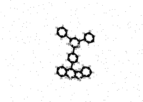 c1ccc(-c2cc(-c3ccccc3)nc(-c3ccc(-c4c5ccccc5nc5sc6ccccc6c45)cc3)n2)cc1